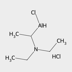 CCN(CC)[CH](C)[AlH][Cl].Cl